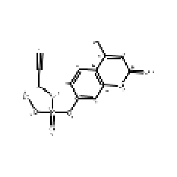 C#CCOP(=O)(OCC)Oc1ccc2c(C)cc(=O)oc2c1